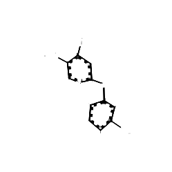 CC(C)c1cc(Nc2cccc(Cl)c2)ncc1C(=O)O